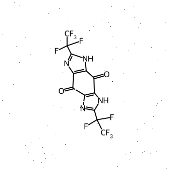 O=C1c2nc(C(F)(F)C(F)(F)F)[nH]c2C(=O)c2[nH]c(C(F)(F)C(F)(F)F)nc21